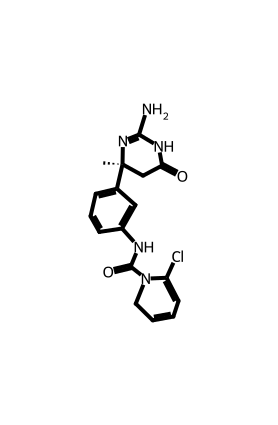 C[C@@]1(c2cccc(NC(=O)N3CC=CC=C3Cl)c2)CC(=O)NC(N)=N1